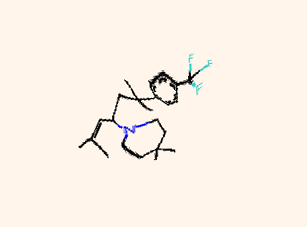 CC(C)=CC(CC(C)(C)c1ccc(C(F)(F)F)cc1)N1CCC(C)(C)CC1